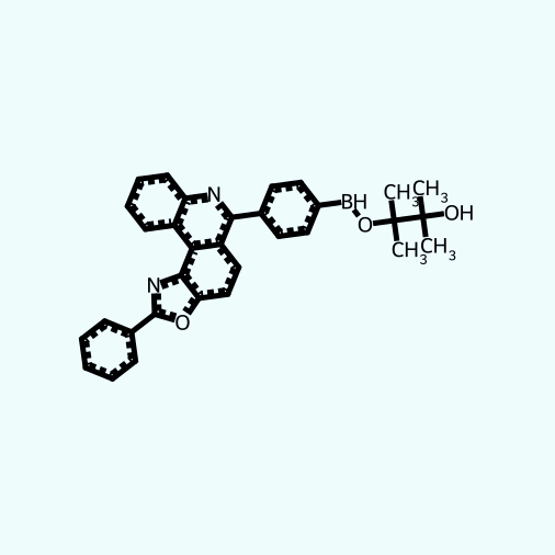 CC(C)(O)C(C)(C)OBc1ccc(-c2nc3ccccc3c3c2ccc2oc(-c4ccccc4)nc23)cc1